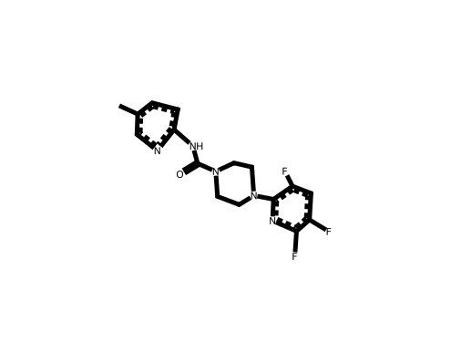 Cc1ccc(NC(=O)N2CCN(c3nc(F)c(F)cc3F)CC2)nc1